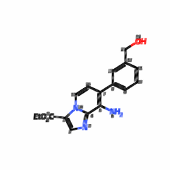 CCOC(=O)c1cnc2c(N)c(-c3cccc(CO)c3)ccn12